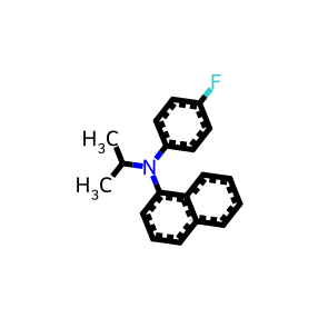 CC(C)N(c1ccc(F)cc1)c1cccc2ccccc12